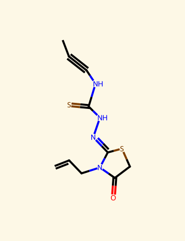 C=CCN1C(=O)CSC1=NNC(=S)NC#CC